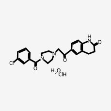 Cl.O.O=C1CCc2cc(C(=O)CN3CCN(C(=O)c4cccc(Cl)c4)CC3)ccc2N1